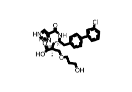 C[C@@](COCCCO)(C[C@@H](Cc1ccc(-c2cccc(Cl)c2)cc1)NC(=O)c1c[nH]nn1)C(=O)O